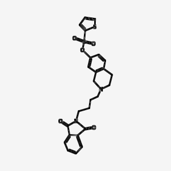 O=C1c2ccccc2C(=O)N1CCCCN1CCc2ccc(OS(=O)(=O)c3cccs3)cc2C1